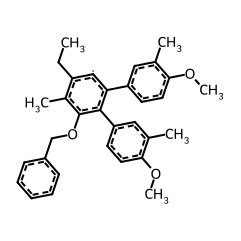 CCc1[c]c(-c2ccc(OC)c(C)c2)c(-c2ccc(OC)c(C)c2)c(OCc2ccccc2)c1C